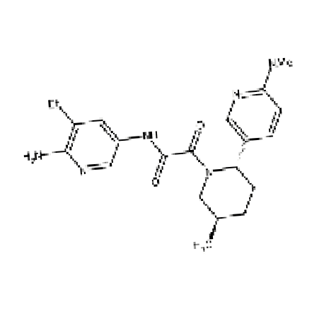 CCc1cc(NC(=O)C(=O)N2C[C@H](C)CC[C@H]2c2ccc(NC)nc2)cnc1N